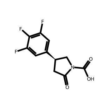 O=C(O)N1C[C@H](c2cc(F)c(F)c(F)c2)CC1=O